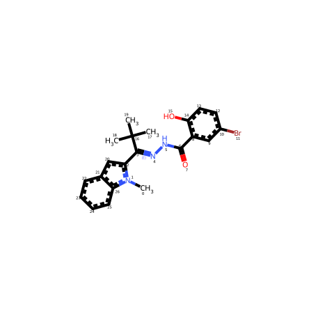 Cn1c(/C(=N/NC(=O)c2cc(Br)ccc2O)C(C)(C)C)cc2ccccc21